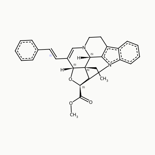 CC[C@@]12C[C@@]3(C(=O)OC)O[C@@H]1C(/C=C/c1ccccc1)=CN1CCc4c(n3c3ccccc43)[C@@H]12